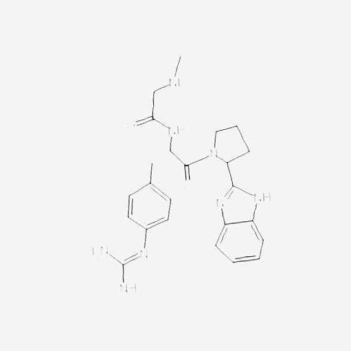 CN[C@@H](C)C(=O)N[C@@H](Cc1ccc(N=C(N)N)cc1)C(=O)N1CCCC1c1nc2ccccc2[nH]1